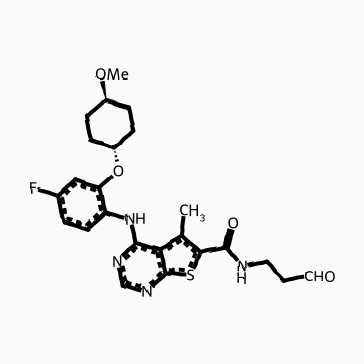 CO[C@H]1CC[C@H](Oc2cc(F)ccc2Nc2ncnc3sc(C(=O)NCCC=O)c(C)c23)CC1